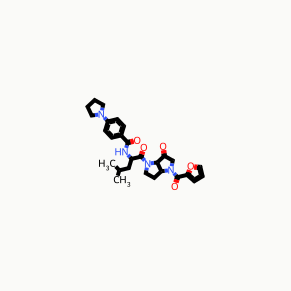 CC(C)CC(NC(=O)c1ccc(N2CCCC2)cc1)C(=O)N1CCC2C1C(=O)CN2C(=O)c1ccco1